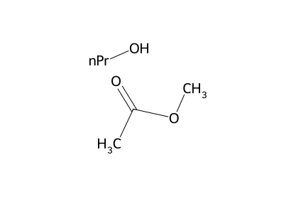 CCCO.COC(C)=O